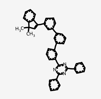 CC1(C)C=C(c2cccc(-c3cccc(-c4cccc(-c5nc(-c6ccccc6)nc(-c6ccccc6)n5)c4)c3)c2)c2ccccc21